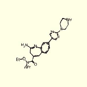 CCCN(OCC)C(=O)C1=Cc2ccc(-c3cnc(N4CCNCC4)nc3)cc2N=C(N)C1